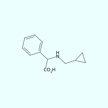 O=C(O)C(NCC1CC1)c1ccccc1